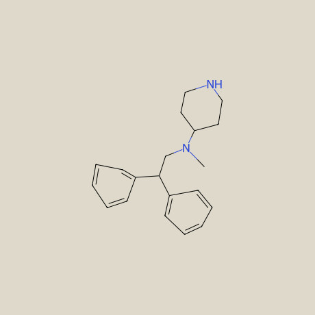 CN(CC(c1ccccc1)c1ccccc1)C1CCNCC1